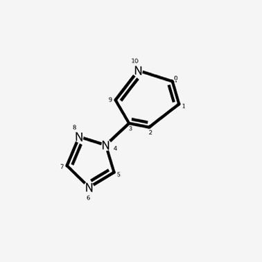 [c]1ccc(-n2cncn2)cn1